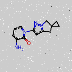 Nc1cccn(-c2cc3n(n2)CC2(CC2)C3)c1=O